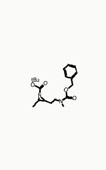 CC1C(CCN(C)C(=O)OCc2ccccc2)N1C(=O)OC(C)(C)C